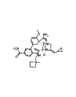 COC1=CC=C(c2cc(C(N)=O)ccc2F)CC1(C(N)=O)[C@@H]1[C@H]2CC(=CC3CC3)[C@H](C2)[C@@H]1C(=O)NCC1(C)CCC1